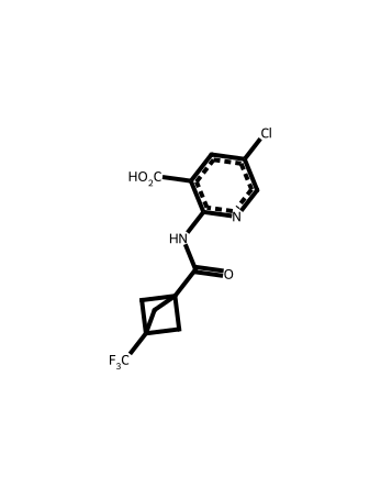 O=C(O)c1cc(Cl)cnc1NC(=O)C12CC(C(F)(F)F)(C1)C2